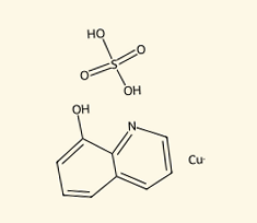 O=S(=O)(O)O.Oc1cccc2cccnc12.[Cu]